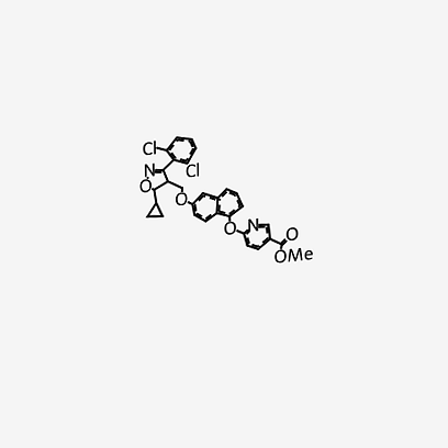 COC(=O)c1ccc(Oc2cccc3cc(OCC4C(c5c(Cl)cccc5Cl)=NOC4C4CC4)ccc23)nc1